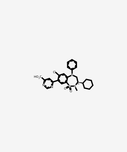 CN1[C@H](C2CCCCC2)CN(c2ccccc2)c2cc(Cl)c(-c3cc(C(=O)O)ncn3)cc2S1(=O)=O